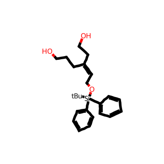 CC(C)(C)[Si](OCC=C(CCO)CCCO)(c1ccccc1)c1ccccc1